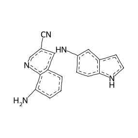 N#Cc1cnc2c(N)cccc2c1Nc1ccc2[nH]ccc2c1